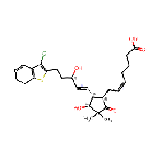 CC1(C)C(=O)[C@H](C/C=C\CCCC(=O)O)[C@@H](/C=C/[C@H](O)CCc2sc3c(c2Cl)C=CCC3)[C@@H]1O